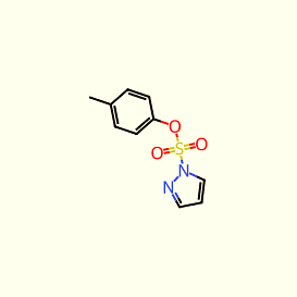 Cc1ccc(OS(=O)(=O)n2cccn2)cc1